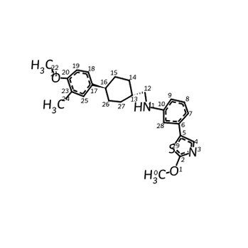 COc1ncc(-c2cccc(NC[C@H]3CC[C@H](c4ccc(OC)c(C)c4)CC3)c2)s1